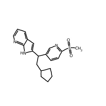 CS(=O)(=O)c1ccc(C(CC2CCCC2)c2cc3cccnc3[nH]2)cn1